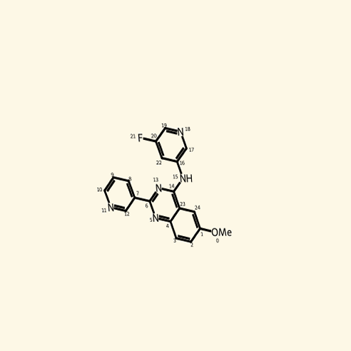 COc1ccc2nc(-c3cccnc3)nc(Nc3cncc(F)c3)c2c1